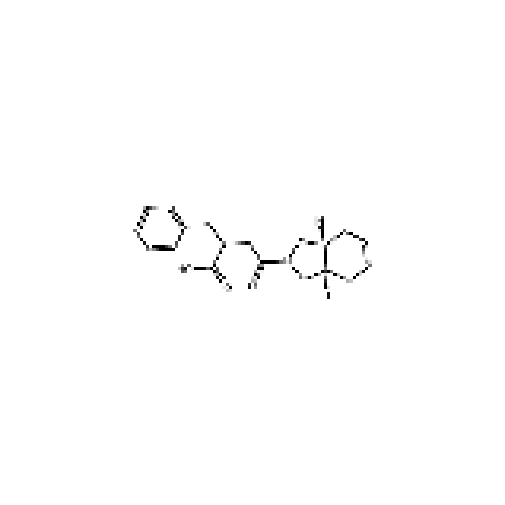 O=C(O)C(CC(=O)N1C[C@H]2CC=CC[C@H]2C1)Cc1ccccc1